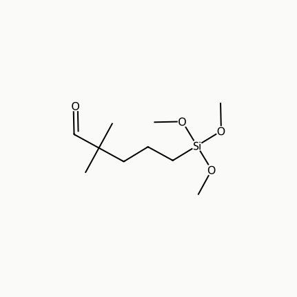 CO[Si](CCCC(C)(C)C=O)(OC)OC